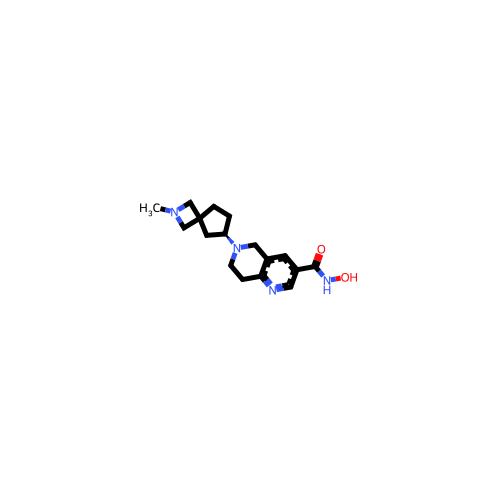 CN1CC2(CC[C@@H](N3CCc4ncc(C(=O)NO)cc4C3)C2)C1